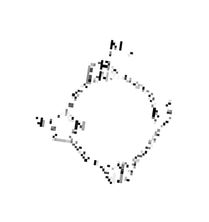 Nc1cc2cc3nc(cc4ccc(cc5nc(cc1[nH]2)C=C5)[nH]4)C=C3.[Ni]